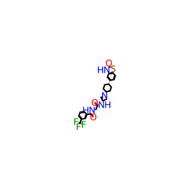 O=C(CNC(=O)c1cccc(C(F)(F)F)c1)NC1CN([C@H]2CC[C@@H](c3ccc4sc(=O)[nH]c4c3)CC2)C1